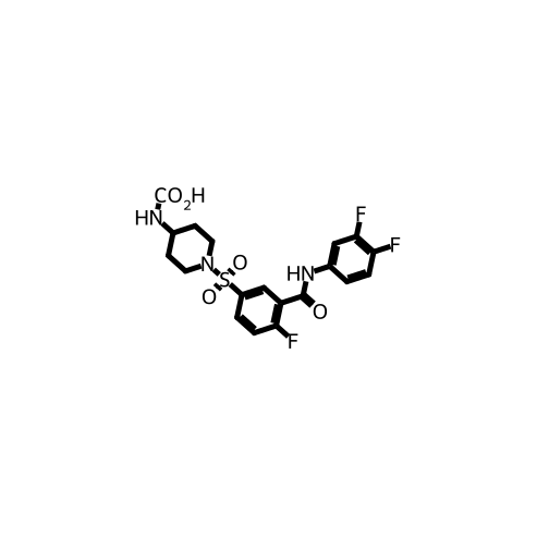 O=C(O)NC1CCN(S(=O)(=O)c2ccc(F)c(C(=O)Nc3ccc(F)c(F)c3)c2)CC1